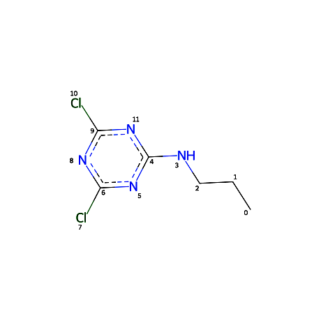 CCCNc1nc(Cl)nc(Cl)n1